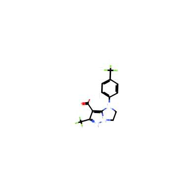 O=C(O)c1c(C(F)(F)F)nn2c1N(c1ccc(C(F)(F)F)cc1)CC2